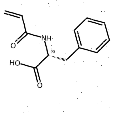 C=CC(=O)N[C@H](Cc1ccccc1)C(=O)O